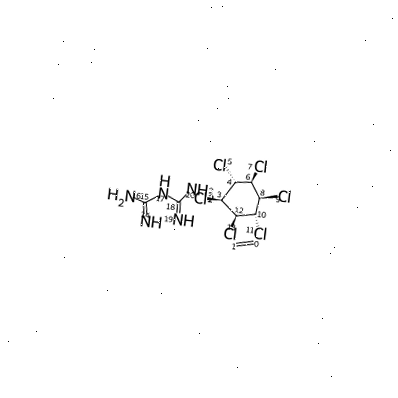 C=C.Cl[C@H]1[C@H](Cl)[C@@H](Cl)[C@@H](Cl)[C@H](Cl)[C@H]1Cl.N=C(N)NC(=N)N